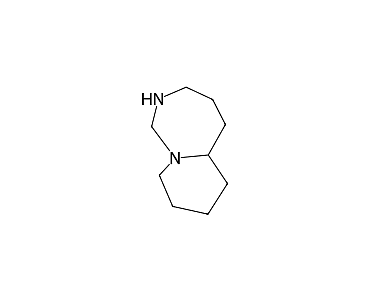 C1CCN2CNCCCC2C1